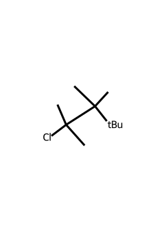 CC(C)(C)C(C)(C)C(C)(C)Cl